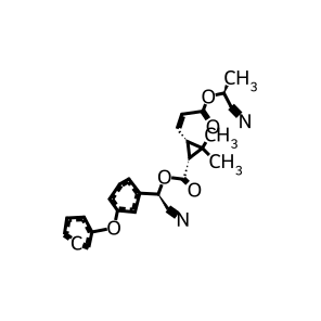 C[C@@H](C#N)OC(=O)/C=C\[C@H]1[C@@H](C(=O)O[C@@H](C#N)c2cccc(Oc3ccccc3)c2)C1(C)C